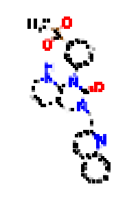 CS(=O)(=O)c1cccc(N2C(=O)N(Cc3ccc4ccccc4n3)CC3=C2NCC=C3)c1